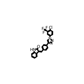 O=C1Nc2ccccc2/C1=C/c1ccc(-c2cn(-c3ccc(Cl)c(C(F)(F)F)c3)nn2)cc1